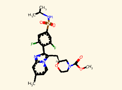 COC(=O)N1CCO[C@@H](Cc2c(-c3c(F)cc(S(=O)(=O)NC(C)C)cc3F)nc3cc(C)ccn23)C1